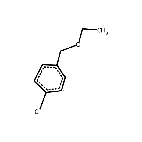 CCOCc1c[c]c(Cl)cc1